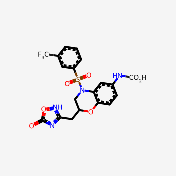 O=C(O)Nc1ccc2c(c1)N(S(=O)(=O)c1cccc(C(F)(F)F)c1)CC(Cc1nc(=O)o[nH]1)O2